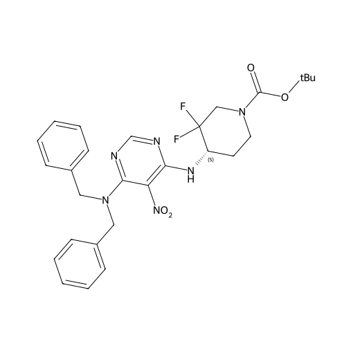 CC(C)(C)OC(=O)N1CC[C@H](Nc2ncnc(N(Cc3ccccc3)Cc3ccccc3)c2[N+](=O)[O-])C(F)(F)C1